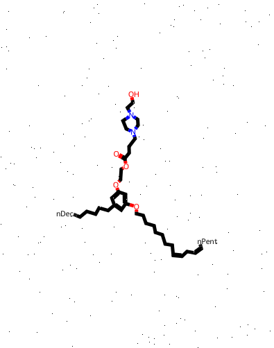 CCCCC/C=C\C/C=C\CCCCCCCCOc1cc(CCCCCCCCCCCCCCC)cc(OCCOC(=O)CCCN2CCN(CCO)CC2)c1